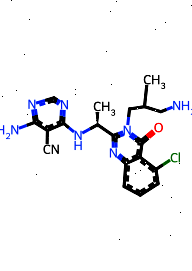 CC(CN)Cn1c([C@H](C)Nc2ncnc(N)c2C#N)nc2cccc(Cl)c2c1=O